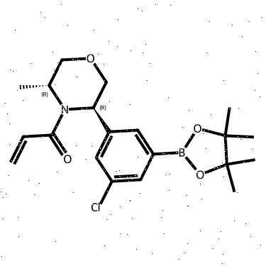 C=CC(=O)N1[C@H](C)COC[C@H]1c1cc(Cl)cc(B2OC(C)(C)C(C)(C)O2)c1